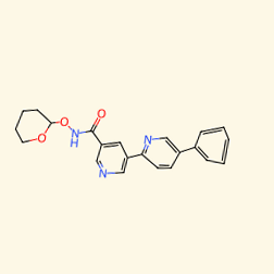 O=C(NOC1CCCCO1)c1cncc(-c2ccc(-c3ccccc3)cn2)c1